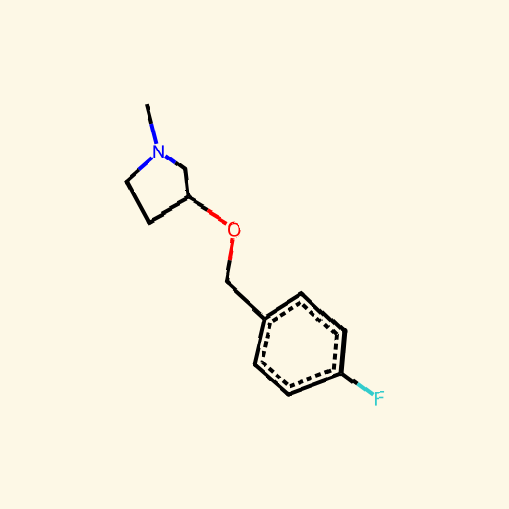 CN1CCC(OCc2ccc(F)cc2)C1